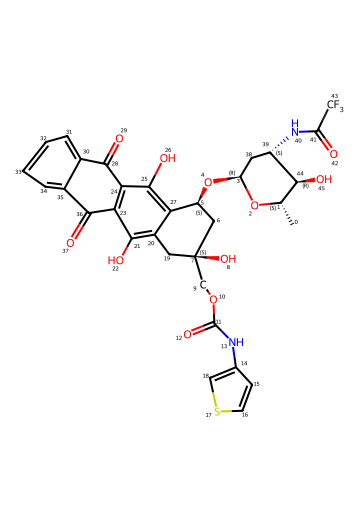 C[C@@H]1O[C@@H](O[C@H]2C[C@](O)(COC(=O)Nc3ccsc3)Cc3c(O)c4c(c(O)c32)C(=O)c2ccccc2C4=O)C[C@H](NC(=O)C(F)(F)F)[C@H]1O